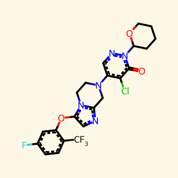 O=c1c(Cl)c(N2CCn3c(Oc4cc(F)ccc4C(F)(F)F)cnc3C2)cnn1C1CCCCO1